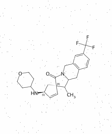 CC1C2Cc3ccc(C(F)(F)F)cc3CN2C(=O)[C@]12C=C[C@@H](NC1CCOCC1)C2